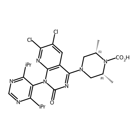 CC(C)c1ncnc(C(C)C)c1-n1c(=O)nc(N2C[C@@H](C)N(C(=O)O)[C@@H](C)C2)c2cc(Cl)c(Cl)nc21